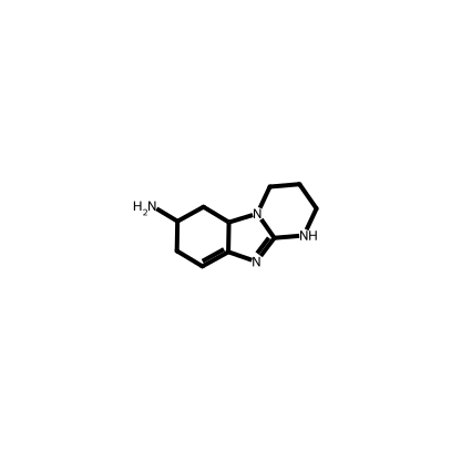 NC1CC=C2N=C3NCCCN3C2C1